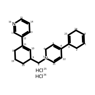 C1=CCC(C2=CCN(CC3C=C(c4cccnc4)CCC3)C=C2)=CC1.Cl.Cl